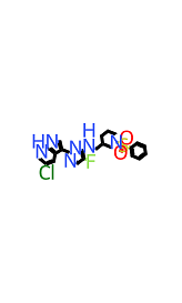 O=S(=O)(c1ccccc1)N1CCCC(CNc2nc(-c3c[nH]c4ncc(Cl)cc34)ncc2F)C1